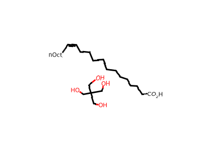 CCCCCCCC/C=C\CCCCCCCCCCCC(=O)O.OCC(CO)(CO)CO